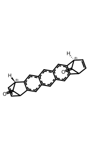 O=C1C2C=C[C@@H]1c1cc3cc4cc5c(cc4cc3cc12)C1C=C[C@H]5C1=O